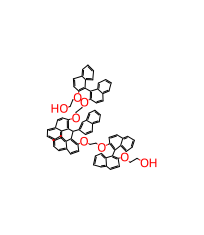 OCCOc1ccc2ccccc2c1-c1c(OCCOc2ccc3ccccc3c2C(c2ccc3ccccc3c2)c2c(OCCOc3ccc4ccccc4c3-c3c(OCCO)ccc4ccccc34)ccc3ccccc23)ccc2ccccc12